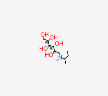 CCC(C)N(C)C[C@H](O)[C@@H](O)[C@H](O)[C@H](O)CO